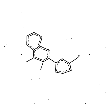 Cc1c(-c2cccc(F)c2)nc2ccccc2c1C